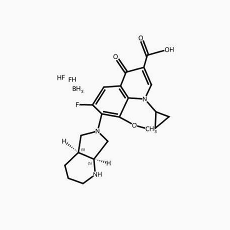 B.COc1c(N2C[C@@H]3CCCN[C@@H]3C2)c(F)cc2c(=O)c(C(=O)O)cn(C3CC3)c12.F.F